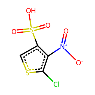 O=[N+]([O-])c1c(S(=O)(=O)O)csc1Cl